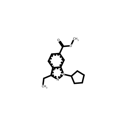 CCc1nn(C2CCCC2)c2cc(C(=O)OC)ccc12